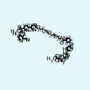 CC(C)(C)CC[C@H](NC(=O)c1ccc(Oc2cccc(C(=O)NCCOCCOCCOCCOc3ncc(-c4ccc5c(n4)N(Cc4cccnc4C#N)C(C)(C)C5=O)cn3)c2)nc1)C(=O)O